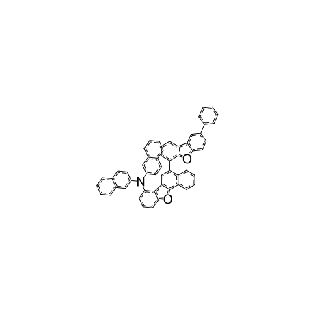 c1ccc(-c2ccc3oc4c(-c5cc6c(oc7cccc(N(c8ccc9ccccc9c8)c8ccc9ccccc9c8)c76)c6ccccc56)cccc4c3c2)cc1